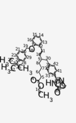 CCOC(=O)CCCCC(C=Cc1ccccc1OCc1ccc(C(C)(C)C)cc1)Cc1ccc(-c2noc(=O)[nH]2)cc1